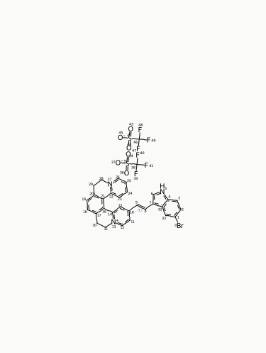 Brc1ccc2[nH]cc(/C=C/c3cc[n+]4c(c3)-c3c(ccc5c3-c3cccc[n+]3CC5)CC4)c2c1.O=S(=O)([O-])C(F)(F)F.O=S(=O)([O-])C(F)(F)F